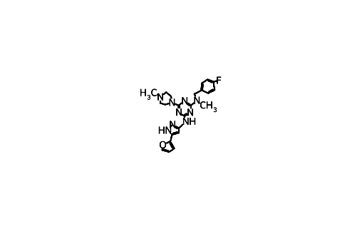 CN1CCN(c2nc(Nc3cc(-c4ccco4)[nH]n3)nc(N(C)Cc3ccc(F)cc3)n2)CC1